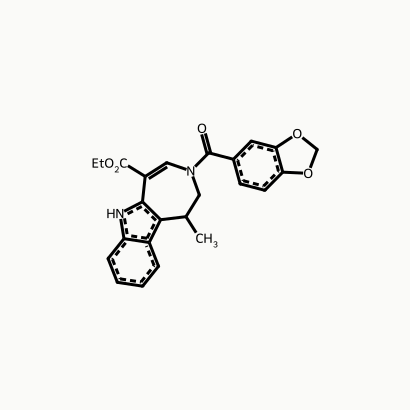 CCOC(=O)C1=CN(C(=O)c2ccc3c(c2)OCO3)CC(C)c2c1[nH]c1ccccc21